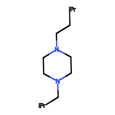 CC(C)CCN1CCN(CC(C)C)CC1